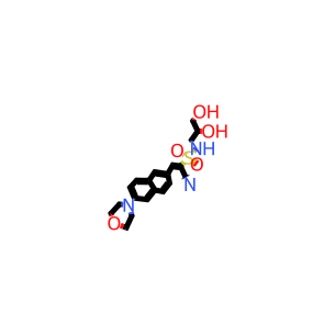 N#C/C(=C\c1ccc2cc(N3CCOCC3)ccc2c1)S(=O)(=O)NCC(O)CO